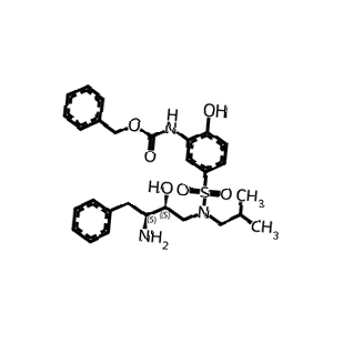 CC(C)CN(C[C@H](O)[C@@H](N)Cc1ccccc1)S(=O)(=O)c1ccc(O)c(NC(=O)OCc2ccccc2)c1